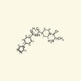 CC(N)C(=O)N1CCC(C(C)NC(=O)c2ccc(-n3cnnc3)cc2)CC1